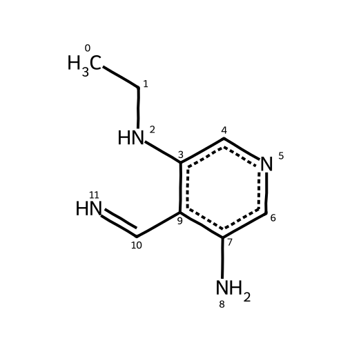 CCNc1cncc(N)c1C=N